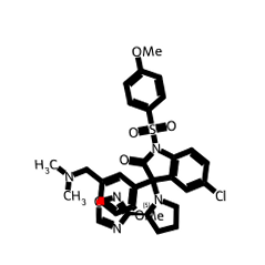 COc1ccc(S(=O)(=O)N2C(=O)C(c3cc(CN(C)C)ccc3OC)(N3CCC[C@H]3c3ncon3)c3cc(Cl)ccc32)cc1